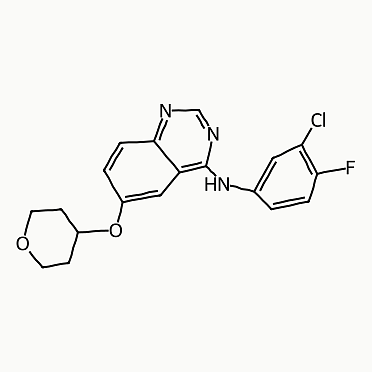 Fc1ccc(Nc2ncnc3ccc(OC4CCOCC4)cc23)cc1Cl